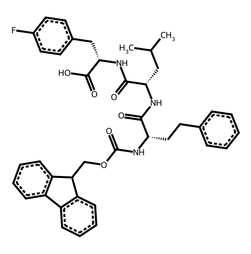 CC(C)C[C@H](NC(=O)[C@H](CCc1ccccc1)NC(=O)OCC1c2ccccc2-c2ccccc21)C(=O)N[C@@H](Cc1ccc(F)cc1)C(=O)O